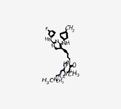 Cc1ccc(Nc2nc(Nc3cccc(F)c3)ncc2C#CCCCNC(=O)[C@H](C)N(C)C(=O)/C=C/CN(C)C)cc1